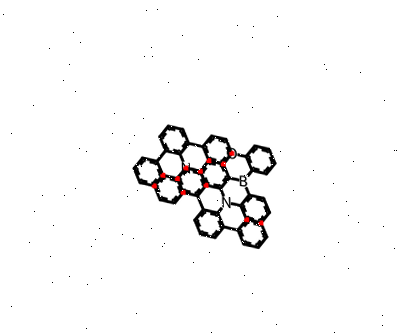 c1ccc(-c2cccc(-c3ccccc3)c2N(c2ccccc2)c2cc3c4c(c2)N(c2c(-c5ccccc5)cccc2-c2ccccc2)c2ccccc2B4c2ccccc2O3)cc1